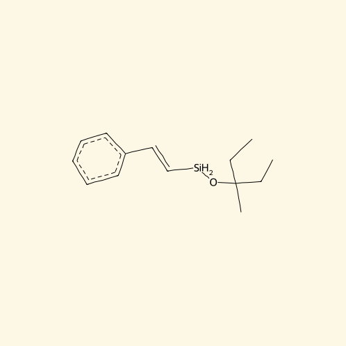 CCC(C)(CC)O[SiH2]C=Cc1ccccc1